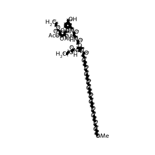 C=CCOC(=O)NCC1(OCC(=O)NCCC(=O)NCc2cc(CO)ccc2O[C@@H]2O[C@H](C(=O)OCC=C)[C@@H](OC(C)=O)[C@H](OC(C)=O)[C@H]2OC(C)=O)CN(C(=O)CCOCCOCCOCCOCCOCCOCCOCCOCCOCCOCCOCCOC)C1